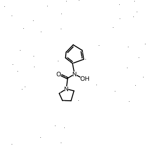 O=C(N1CCCC1)N(O)c1[c]cccc1